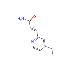 CCc1ccnc(/C=C/C(N)=O)c1